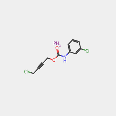 O=C(Nc1cccc(Cl)c1)OCC#CCCl.P